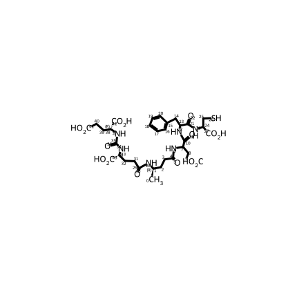 C[C@H](CCC(=O)NC(CC(=O)O)C(=O)NC(Cc1ccccc1)C(=O)NC(CS)C(=O)O)NC(=O)CC[C@@H](NC(=O)N[C@H](CCC(=O)O)C(=O)O)C(=O)O